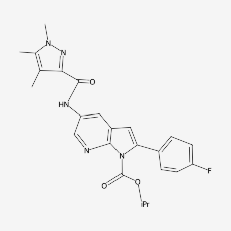 Cc1c(C(=O)Nc2cnc3c(c2)cc(-c2ccc(F)cc2)n3C(=O)OC(C)C)nn(C)c1C